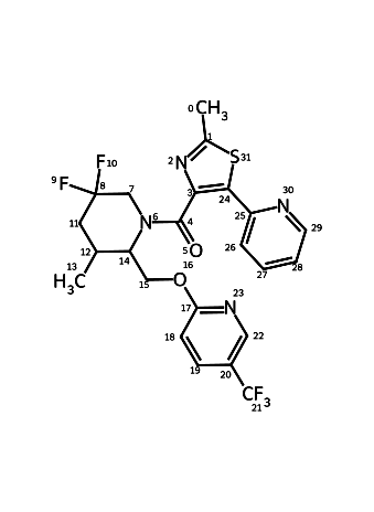 Cc1nc(C(=O)N2CC(F)(F)CC(C)C2COc2ccc(C(F)(F)F)cn2)c(-c2ccccn2)s1